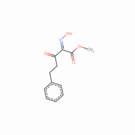 COC(=O)/C(=N\O)C(=O)CCc1ccccc1